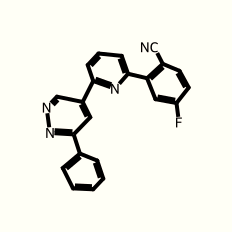 N#Cc1ccc(F)cc1-c1cccc(-c2cnnc(-c3ccccc3)c2)n1